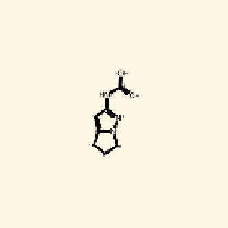 O=C(O)Nc1cc2n(n1)CCC2